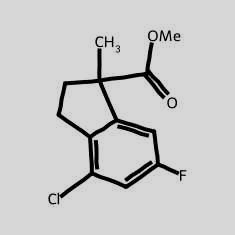 COC(=O)C1(C)CCc2c(Cl)cc(F)cc21